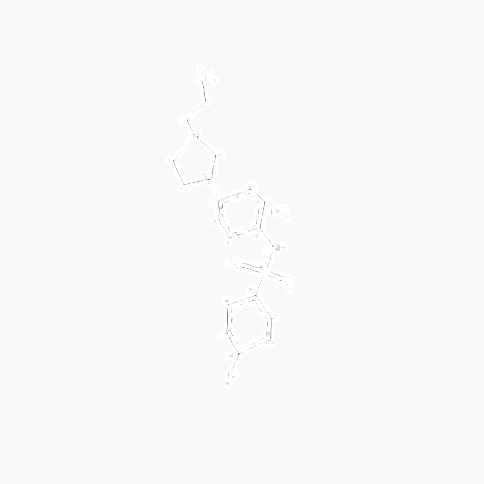 CCCN1CC[C@@H](c2ccc(NS(=O)(=O)c3ccc(Br)cc3)cc2)C1.Cl